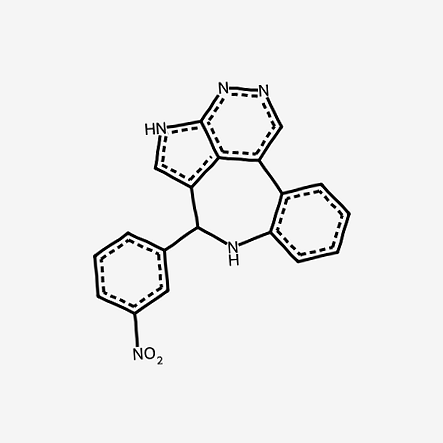 O=[N+]([O-])c1cccc(C2Nc3ccccc3-c3cnnc4[nH]cc2c34)c1